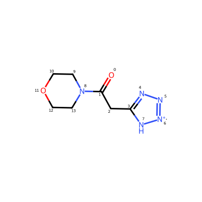 O=C(CC1=NN=[N+]N1)N1CCOCC1